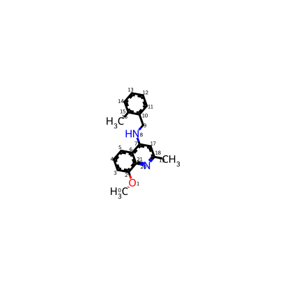 COc1cccc2c(NCc3ccccc3C)cc(C)nc12